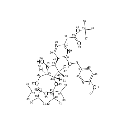 COc1ccc(COc2nc(CC(=O)OC(C)(C)C)ncc2[C@@H]2N(O)[C@@H]3CO[Si](C(C)C)(C(C)C)O[Si](C(C)C)(C(C)C)O[C@H]3[C@@]2(C)F)cc1